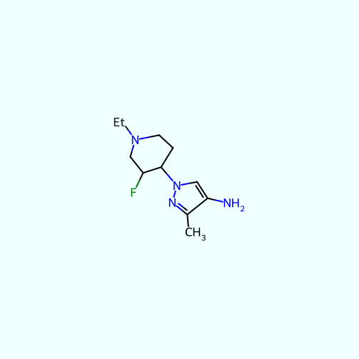 CCN1CCC(n2cc(N)c(C)n2)C(F)C1